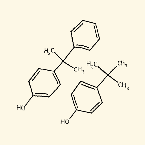 CC(C)(C)c1ccc(O)cc1.CC(C)(c1ccccc1)c1ccc(O)cc1